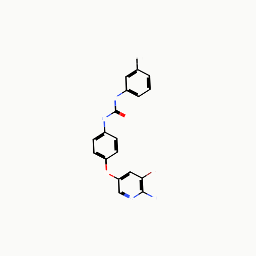 Nc1ncc(Oc2ccc(NC(=O)Nc3cccc(C(F)(F)F)c3)cc2)cc1Br